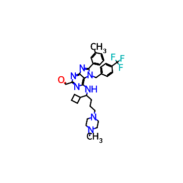 Cc1cccc(-c2nc3nc(C=O)nc(NC(CCCN4CCN(C)CC4)C4CCC4)c3n2Cc2ccc(C(F)(F)F)cc2)c1